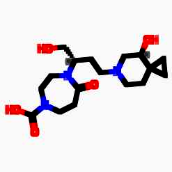 O=C(O)N1CCC(=O)N([C@H](CO)CCN2CCC3(CC3)[C@H](O)C2)CC1